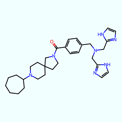 O=C(c1ccc(CN(Cc2ncc[nH]2)Cc2ncc[nH]2)cc1)N1CCC2(CCN(C3CCCCCC3)CC2)C1